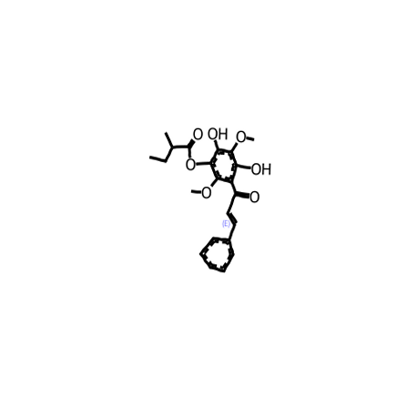 CCC(C)C(=O)Oc1c(O)c(OC)c(O)c(C(=O)/C=C/c2ccccc2)c1OC